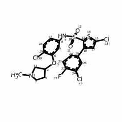 CN1CCC(Oc2cc(NS(=O)(=O)c3sc(Cl)cc3-c3ccc(F)c(Cl)c3)ccc2Cl)C1